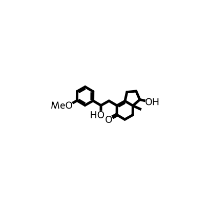 COc1cccc(C(O)CC2=C3CCC(O)C3(C)CCC2=O)c1